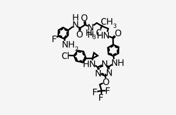 CC(C)(CNC(=O)C(=O)Nc1ccc(F)c(N)c1)CNC(=O)c1ccc(Nc2nc(NC3(c4ccc(Cl)cc4)CC3)nc(OCC(F)(F)F)n2)cc1